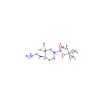 CC(C)(C)OC(=O)N1CC[C@@H](CCN)C(F)(F)C1